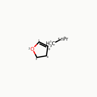 C1=COCC1.CCCC